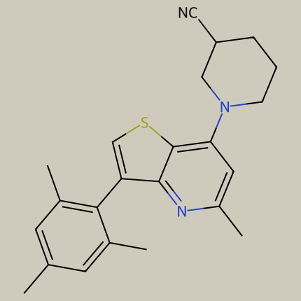 Cc1cc(C)c(-c2csc3c(N4CCCC(C#N)C4)cc(C)nc23)c(C)c1